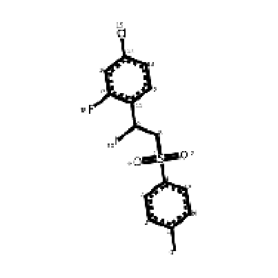 Cc1ccc(S(=O)(=O)CC(I)c2ccc(Cl)cc2F)cc1